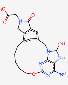 Nc1nc2nc3c1NC(O)N3Cc1cc(c3c(c1)C(=O)N(CC(=O)O)C3)CCCCCO2